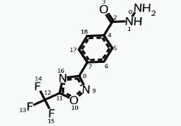 NNC(=O)c1ccc(-c2noc(C(F)(F)F)n2)cc1